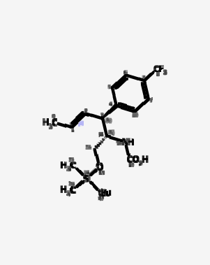 C/C=C/[C@@H](c1ccc(C(F)(F)F)cc1)[C@@H](CO[Si](C)(C)C(C)(C)C)NC(=O)O